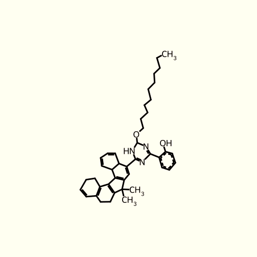 CCCCCCCCCCCOC1N=C(c2ccccc2O)N=C(C2=CC3=C(C4=C(CCC5=C4CCC=C5)C3(C)C)C3C=CC=CC23)N1